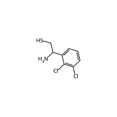 NC(CS)c1cccc(Cl)c1Cl